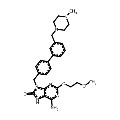 COCCOc1nc(N)c2[nH]c(=O)n(Cc3ccc(-c4cccc(CN5CCN(C)CC5)c4)cc3)c2n1